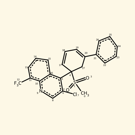 CS(=O)(=O)C1(c2c(Cl)cnc3c(C(F)(F)F)cccc23)C=CC=C(c2ccccc2)C1